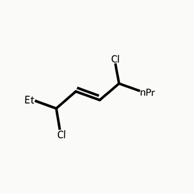 CCCC(Cl)/C=C/C(Cl)CC